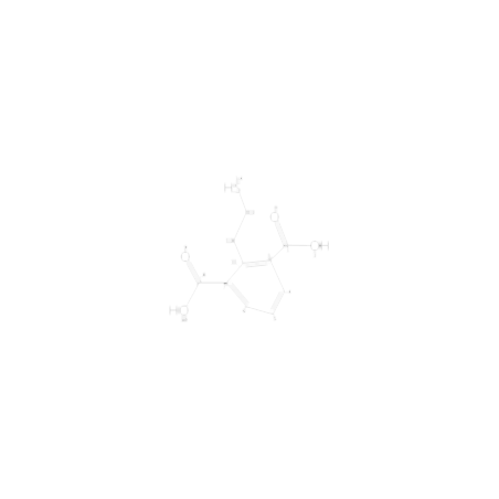 O=C(O)c1cccc(C(=O)O)c1CCS